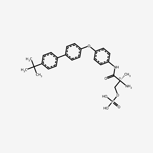 CC(C)(C)c1ccc(-c2ccc(Oc3ccc(NC(=O)[C@@](C)(N)COP(=O)(O)O)cc3)cc2)cc1